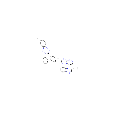 Cc1ccc2nc(-c3cccc(Cc4c[n+](-c5cccc6ncc(C)nc56)c5cccnc5n4)c3)c(-c3ccccc3)nc2c1